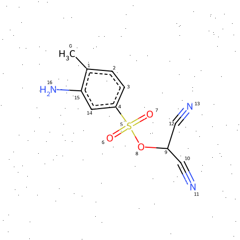 Cc1ccc(S(=O)(=O)OC(C#N)C#N)cc1N